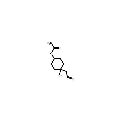 NC(=O)OC1CCC(O)(CC=O)CC1